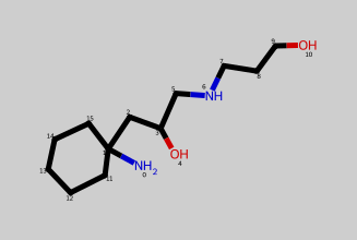 NC1(CC(O)CNCCCO)CCCCC1